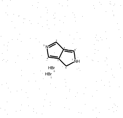 Br.Br.C1=NC=C2CNC=C12